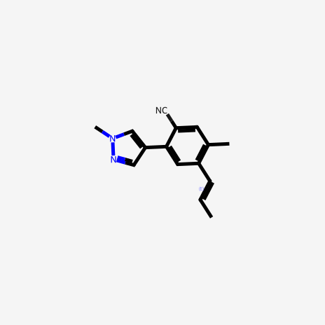 C/C=C/c1cc(-c2cnn(C)c2)c(C#N)cc1C